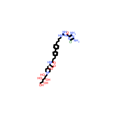 N=C(NCCCCc1ccc(-c2ccc(CCC(=O)N[C@@H](CC3CCN(C[C@H](O)[C@@H](O)[C@H](O)[C@H](O)CO)CC3)C(=O)O)cc2)cc1)NC(=O)c1nc(Cl)c(N)nc1N